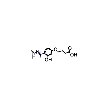 CN/N=C(\C)c1ccc(OCCCC(=O)O)cc1O